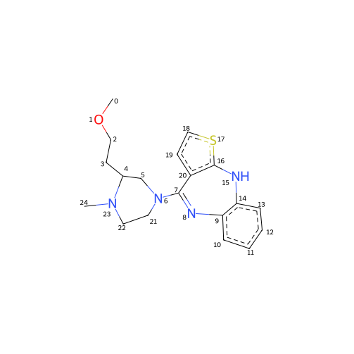 COCCC1CN(C2=Nc3ccccc3Nc3sccc32)CCN1C